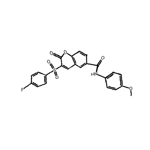 COc1ccc(NC(=O)c2ccc3oc(=O)c(S(=O)(=O)c4ccc(F)cc4)cc3c2)cc1